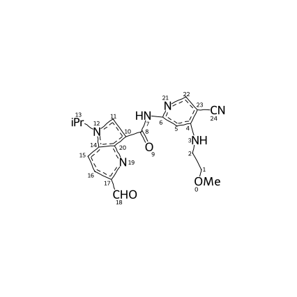 COCCNc1cc(NC(=O)c2cn(C(C)C)c3ccc(C=O)nc23)ncc1C#N